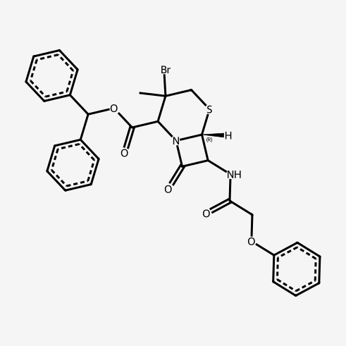 CC1(Br)CS[C@@H]2C(NC(=O)COc3ccccc3)C(=O)N2C1C(=O)OC(c1ccccc1)c1ccccc1